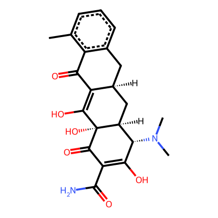 Cc1cccc2c1C(=O)C1=C(O)[C@]3(O)C(=O)C(C(N)=O)=C(O)[C@@H](N(C)C)[C@@H]3C[C@@H]1C2